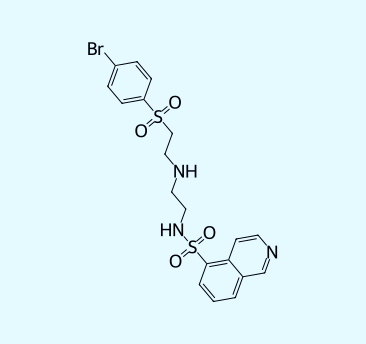 O=S(=O)(CCNCCNS(=O)(=O)c1cccc2cnccc12)c1ccc(Br)cc1